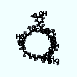 COCCS(=O)(=O)N[C@@H]1C[C@@H]2CC[C@@H](C)[C@@](O)(O2)C(=O)C(=O)N2CCCC[C@H]2C(=O)O[C@H]([C@H](C)C[C@@H]2CC[C@@H](O)[C@H](OC)C2)CC(=O)[C@H](C)/C=C(\C)[C@@H](O)[C@@H](OC)C(=O)[C@H](C)C[C@H](C)/C=C/C=C/C=C/1C